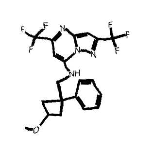 COC1CC(CNc2cc(C(F)(F)F)nc3cc(C(F)(F)F)nn23)(c2ccccc2)C1